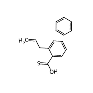 C=CCc1ccccc1C(O)=S.c1ccccc1